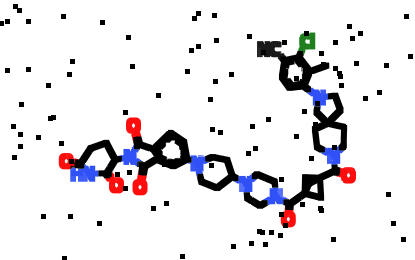 Cc1c(N2CCC3(CCN(C(=O)C45CC(C(=O)N6CCN(C7CCN(c8ccc9c(c8)C(=O)N(C8CCC(=O)NC8=O)C9=O)CC7)CC6)(C4)C5)CC3)C2)ccc(C#N)c1Cl